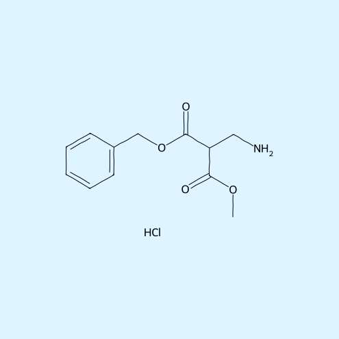 COC(=O)C(CN)C(=O)OCc1ccccc1.Cl